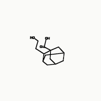 O=C(O)C12CC3CC(CC(C3)C1CCO)C2